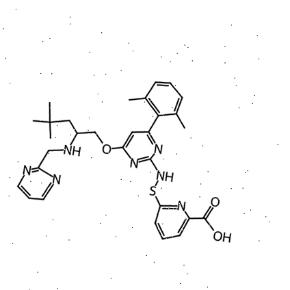 Cc1cccc(C)c1-c1cc(OCC(CC(C)(C)C)NCc2ncccn2)nc(NSc2cccc(C(=O)O)n2)n1